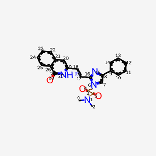 CN(C)S(=O)(=O)n1cc(-c2ccccc2)nc1/C=C/c1cc2ccccc2c(=O)[nH]1